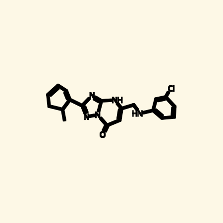 CC1CC=CC=C1c1nc2[nH]c(CNc3cccc(Cl)c3)cc(=O)n2n1